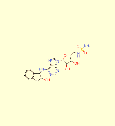 NS(=O)(=O)NC[C@H]1O[C@@H](n2cnc3c(N[C@@H]4c5ccccc5C[C@@H]4O)ncnc32)[C@H](O)[C@@H]1O